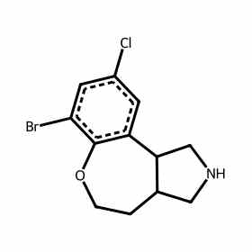 Clc1cc(Br)c2c(c1)C1CNCC1CCO2